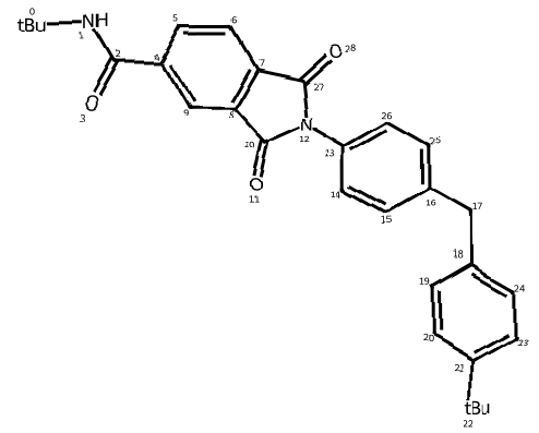 CC(C)(C)NC(=O)c1ccc2c(c1)C(=O)N(c1ccc(Cc3ccc(C(C)(C)C)cc3)cc1)C2=O